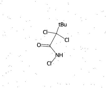 CC(C)(C)C(Cl)(Cl)C(=O)NCl